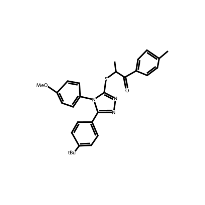 COc1ccc(-n2c(SC(C)C(=O)c3ccc(C)cc3)nnc2-c2ccc(C(C)(C)C)cc2)cc1